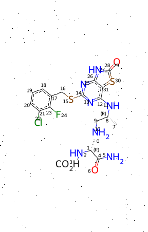 C[C@@H](NC(=O)O)C(N)=O.C[C@H](CN)Nc1nc(SCc2cccc(Cl)c2F)nc2[nH]c(=O)sc12